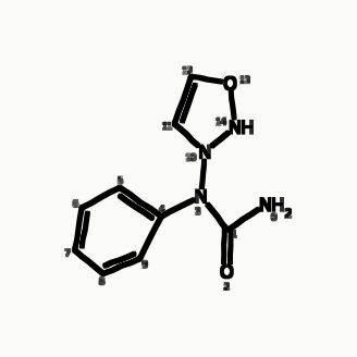 NC(=O)N(c1ccccc1)N1C=CON1